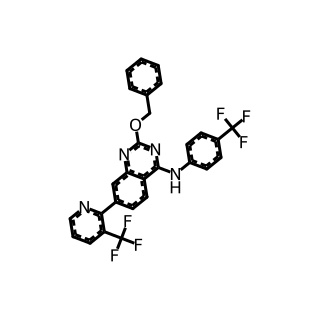 FC(F)(F)c1ccc(Nc2nc(OCc3ccccc3)nc3cc(-c4ncccc4C(F)(F)F)ccc23)cc1